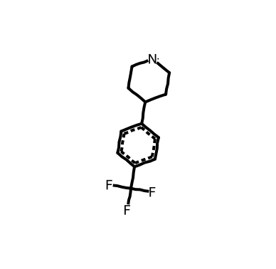 FC(F)(F)c1ccc(C2CC[N]CC2)cc1